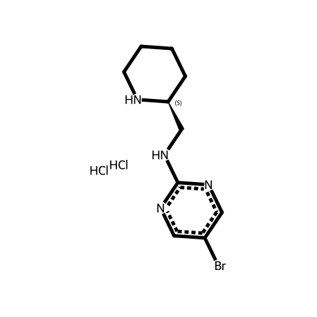 Brc1cnc(NC[C@@H]2CCCCN2)nc1.Cl.Cl